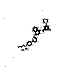 CCCCN(C(=O)O)C1CCN(c2nccc(Oc3ccc(NC(=O)c4cc(F)cc(N5CCOCC5)c4)c4ccccc34)n2)CC1